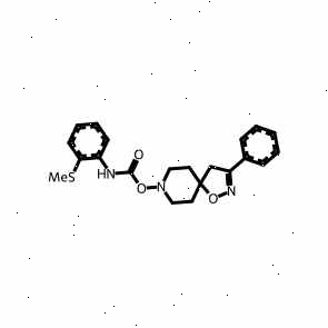 CSc1ccccc1NC(=O)ON1CCC2(CC1)CC(c1ccccc1)=NO2